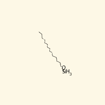 CCCCCCCCCCCCCCCO[SiH3]